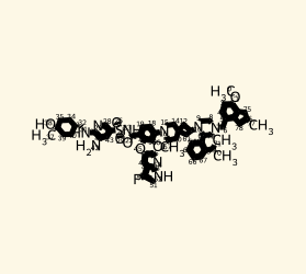 COc1ccc(CN2CCN(C3CC4(CCN(c5ccc(C(=O)NS(=O)(=O)c6cnc(NC[C@H]7CC[C@](C)(O)CC7)c(N)c6)c(Oc6cc7c(F)c[nH]c7nc6OC)c5)CC4)C3)C(c3ccccc3C(C)C)C2)c2c1CC(C)=C2